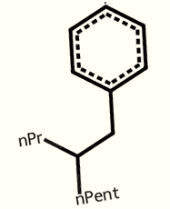 CCCCCC(CCC)Cc1cc[c]cc1